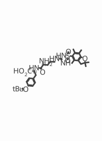 Cc1c(C)c(S(=O)(=O)NC(=N)NCCC[C@H](N)C(=O)N[C@@H](Cc2ccc(OC(C)(C)C)cc2)C(=O)O)c(C)c2c1OC(C)(C)C2